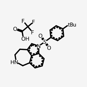 CC(C)(C)c1ccc(S(=O)(=O)n2cc3c4c(cccc42)CNCC3)cc1.O=C(O)C(F)(F)F